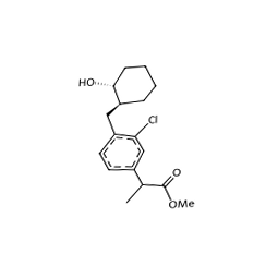 COC(=O)C(C)c1ccc(C[C@@H]2CCCC[C@H]2O)c(Cl)c1